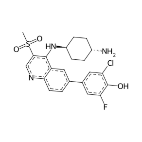 CS(=O)(=O)c1cnc2ccc(-c3cc(F)c(O)c(Cl)c3)cc2c1N[C@H]1CC[C@H](N)CC1